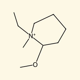 CC[N+]1(C)CCCCC1OC